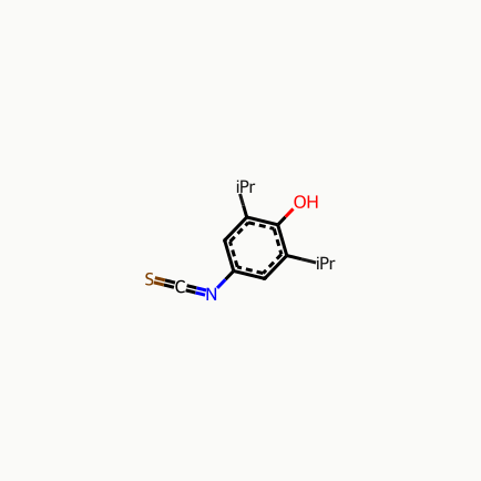 CC(C)c1cc(N=C=S)cc(C(C)C)c1O